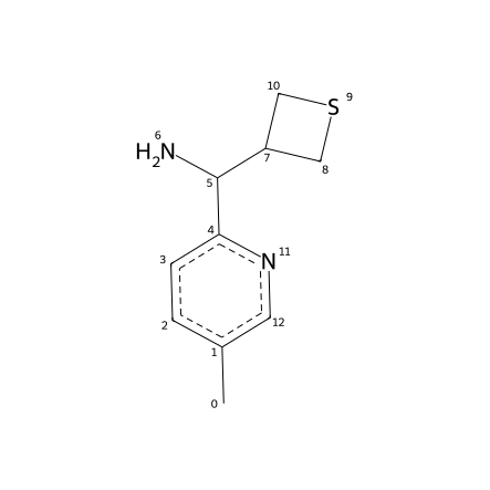 Cc1ccc(C(N)C2CSC2)nc1